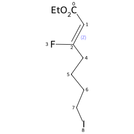 CCOC(=O)/C=C(\F)CCCCI